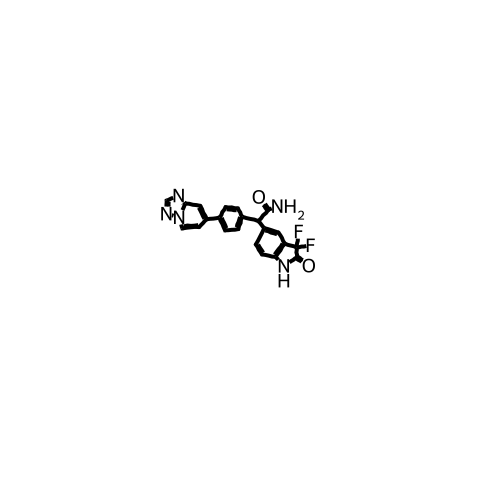 NC(=O)C(c1ccc(-c2ccn3ncnc3c2)cc1)c1ccc2c(c1)C(F)(F)C(=O)N2